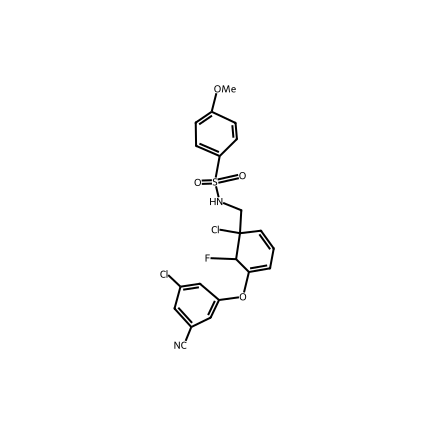 COc1ccc(S(=O)(=O)NCC2(Cl)C=CC=C(Oc3cc(Cl)cc(C#N)c3)C2F)cc1